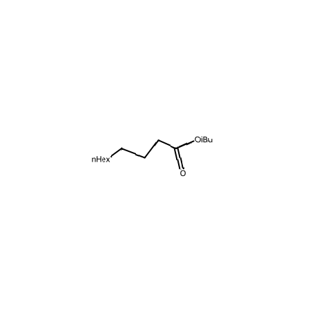 CCCCCCCCCC(=O)OCC(C)C